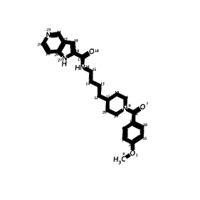 COc1ccc(C(=O)N2CCC(CCCCNC(=O)c3cc4cnccc4[nH]3)CC2)cc1